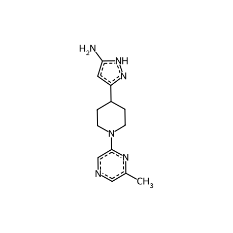 Cc1cncc(N2CCC(c3cc(N)[nH]n3)CC2)n1